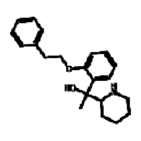 CC(O)(c1ccccc1OCCc1ccccc1)C1CCCCN1